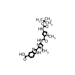 Cn1cc(NC(=O)OC(C)(C)C)cc1C(=O)Nc1cn(C)c(-c2nc3cc(C(=O)O)ccc3[nH]2)n1